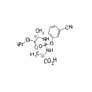 CC(C)OC(=O)[C@H](C)NP(=O)(N[C@@H](C)C(=O)O)Oc1cccc(C#N)c1